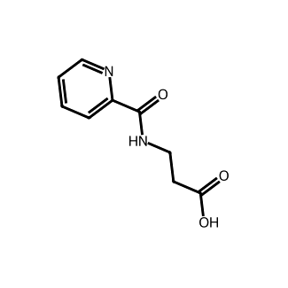 O=C(O)CCNC(=O)c1ccccn1